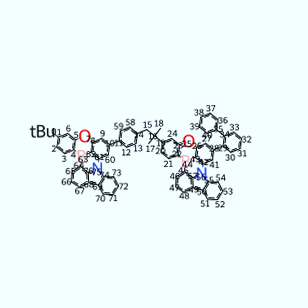 CC(C)(C)c1ccc2c(c1)Oc1cc(-c3ccc(CC(C)(C)c4ccc5c(c4)Oc4cc(-c6ccccc6-c6ccccc6)cc6c4B5c4cccc5c7ccccc7n-6c45)cc3)cc3c1B2c1cccc2c4ccccc4n-3c12